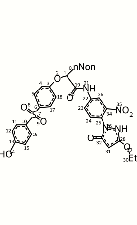 CCCCCCCCCC(Oc1ccc(S(=O)(=O)c2ccc(O)cc2)cc1)C(=O)Nc1ccc(-n2[nH]c(OCC)cc2=O)c([N+](=O)[O-])c1